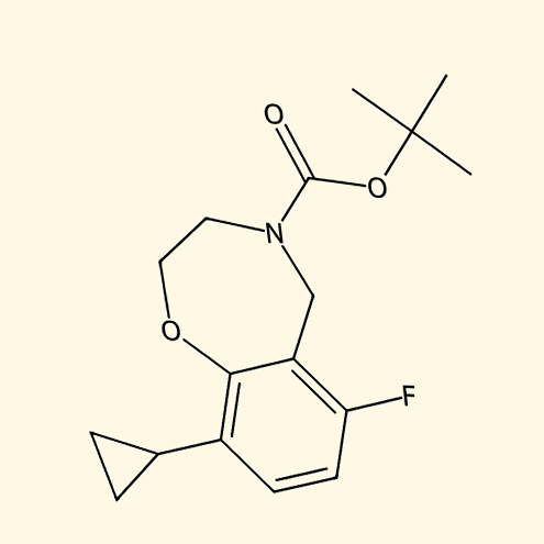 CC(C)(C)OC(=O)N1CCOc2c(C3CC3)ccc(F)c2C1